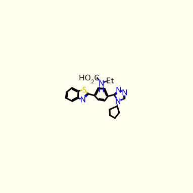 CCNC(=O)O.c1ccc2sc(-c3ccc(-c4nncn4C4CCCC4)cc3)nc2c1